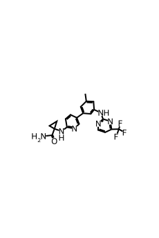 Cc1cc(Nc2nccc(C(F)(F)F)n2)cc(-c2ccc(NC3(C(N)=O)CC3)nc2)c1